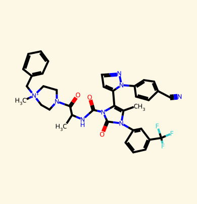 Cc1c(-c2ccnn2-c2ccc(C#N)cc2)n(C(=O)NC(C)C(=O)N2CC[N+](C)(Cc3ccccc3)CC2)c(=O)n1-c1cccc(C(F)(F)F)c1